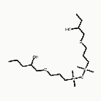 CCCC(O)COCCC[Si](C)(C)O[Si](C)(C)CCCOCC(O)CC